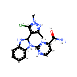 Cc1nn(C)c(Cl)c1C1Nc2ccccc2N1c1nccc(C(N)=O)n1